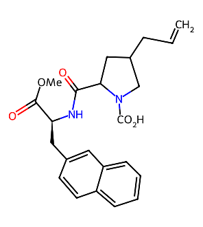 C=CCC1CC(C(=O)N[C@@H](Cc2ccc3ccccc3c2)C(=O)OC)N(C(=O)O)C1